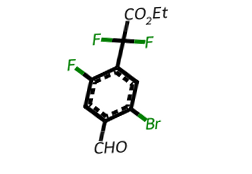 CCOC(=O)C(F)(F)c1cc(Br)c(C=O)cc1F